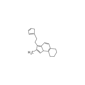 CC1=CC2C(=C1CCC1=CC=CC1)C=CC1=C2CCCC1